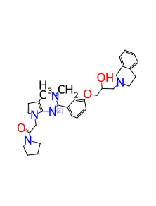 C=N/C(=N\c1c(C)ccn1CC(=O)N1CCCC1)c1cccc(OCC(O)CN2CCc3ccccc3C2)c1